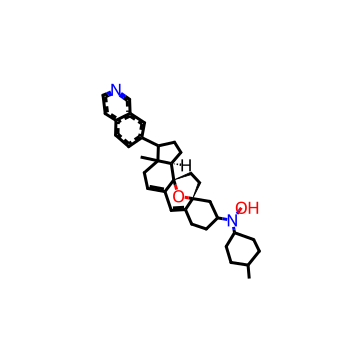 CC1CCC(N(O)C2CCC3=CC4=CCC5(C)C(c6ccc7ccncc7c6)CC[C@H]5[C@@]45CC[C@]3(C2)O5)CC1